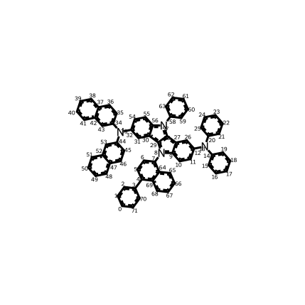 c1ccc(-c2ccc(-n3c4ccc(N(c5ccccc5)c5ccccc5)cc4c4c3c3cc(N(c5ccc6ccccc6c5)c5ccc6ccccc6c5)ccc3n4-c3ccccc3)c3ccccc23)cc1